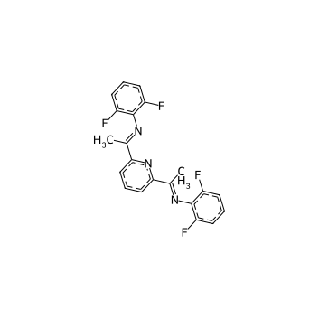 C/C(=N\c1c(F)cccc1F)c1cccc(/C(C)=N/c2c(F)cccc2F)n1